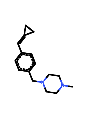 CN1CCN(Cc2ccc(C=C3CC3)cc2)CC1